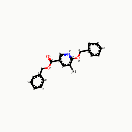 CCc1cc(C(=O)OCc2ccccc2)cnc1OCc1ccccc1